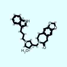 O.O=C1Cc2cc3c(cc2CCN1CC1CCN(CCCc2c[nH]c4ccccc24)C1)OCO3